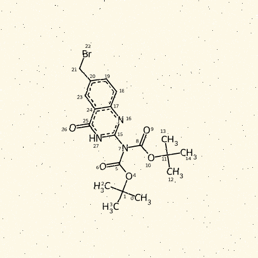 CC(C)(C)OC(=O)N(C(=O)OC(C)(C)C)c1nc2ccc(CBr)cc2c(=O)[nH]1